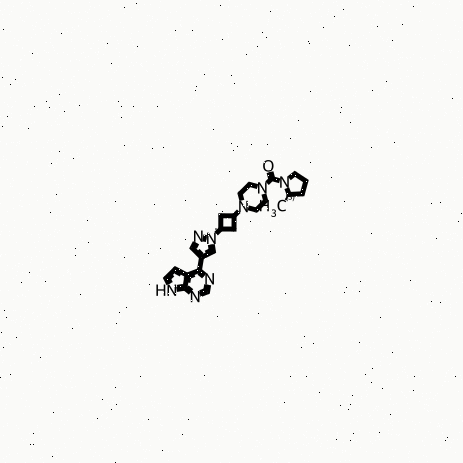 C[C@H]1CCCN1C(=O)N1CCN(C2C[C](n3cc(-c4ncnc5[nH]ccc45)cn3)C2)CC1